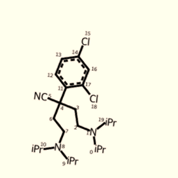 CC(C)N(CCC(C#N)(CCN(C(C)C)C(C)C)c1ccc(Cl)cc1Cl)C(C)C